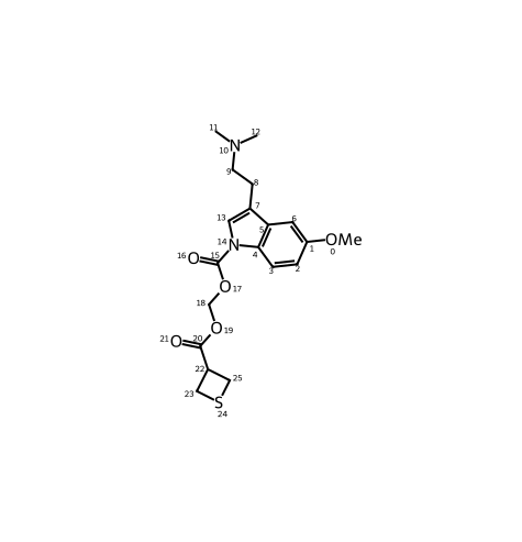 COc1ccc2c(c1)c(CCN(C)C)cn2C(=O)OCOC(=O)C1CSC1